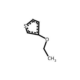 CCOc1c[c]sc1